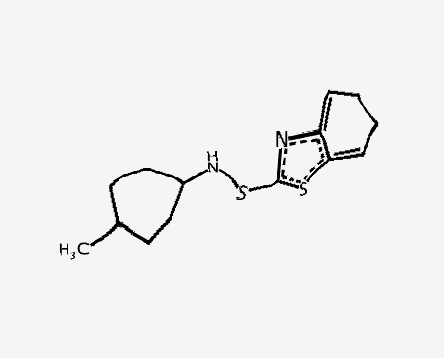 CC1CCC(NSc2nc3c(s2)=CCCC=3)CC1